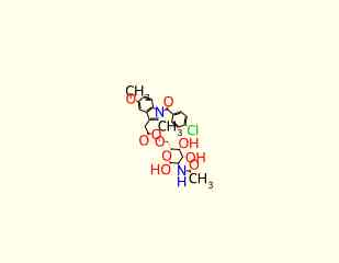 COc1ccc2c(c1)c(CC(=O)OOC[C@H]1O[C@H](O)[C@H](NC(C)=O)[C@@H](O)[C@@H]1O)c(C)n2C(=O)c1ccc(Cl)cc1